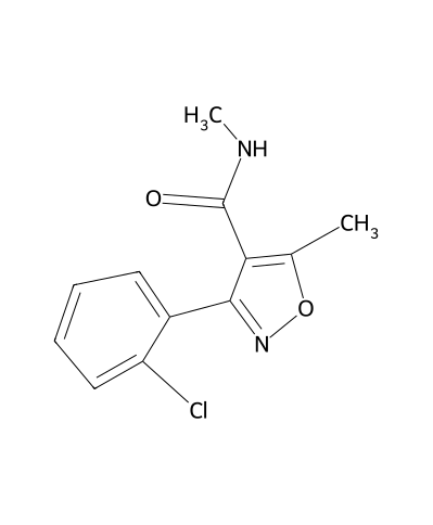 CNC(=O)c1c(-c2ccccc2Cl)noc1C